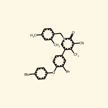 Cc1ccc(Cn2cc(-c3ccc(Oc4ccc(C(C)(C)C)cc4)c(C(C)C)c3)c(C(F)(F)F)c(C#N)c2=O)c(C)c1